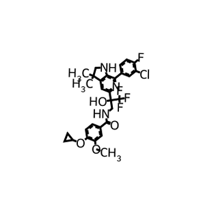 COc1cc(C(=O)NCC(O)(c2cc3c(c(-c4ccc(F)c(Cl)c4)n2)NCC3(C)C)C(F)(F)F)ccc1OC1CC1